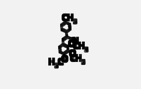 COc1ccc(C=C(C#N)c2ccc(C)cc2)c(OC)c1OC